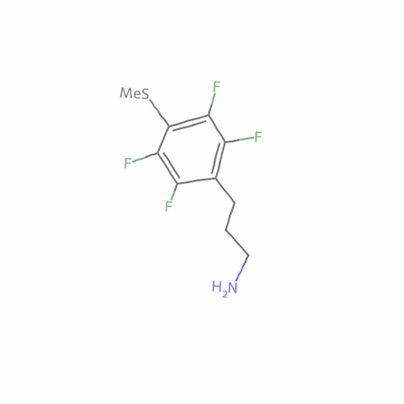 CSc1c(F)c(F)c(CCCN)c(F)c1F